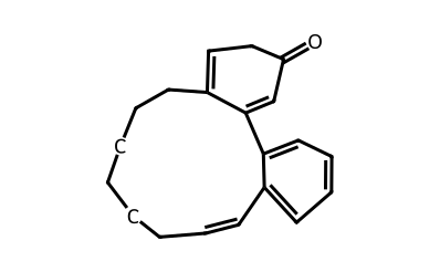 O=C1C=C2C(=CC1)CCCCCCC=Cc1ccccc12